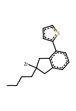 CCCC[C]1([Zr])Cc2cccc(-c3cccs3)c2C1